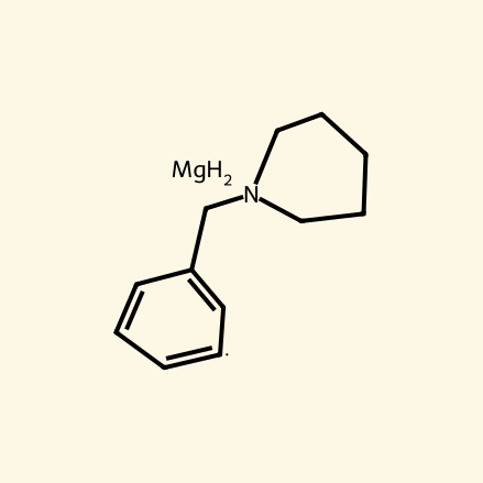 [MgH2].[c]1cccc(CN2CCCCC2)c1